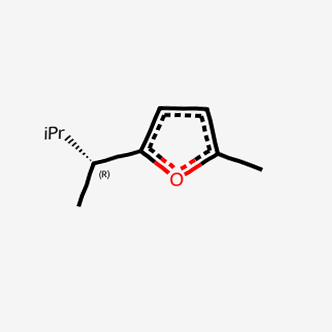 Cc1ccc([C@H](C)C(C)C)o1